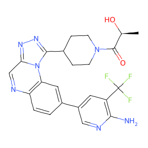 C[C@H](O)C(=O)N1CCC(c2nnc3cnc4ccc(-c5cnc(N)c(C(F)(F)F)c5)cc4n23)CC1